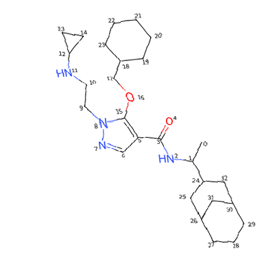 CC(NC(=O)c1cnn(CCNC2CC2)c1OCC1CCCCC1)C1CC2CCCC(C2)C1